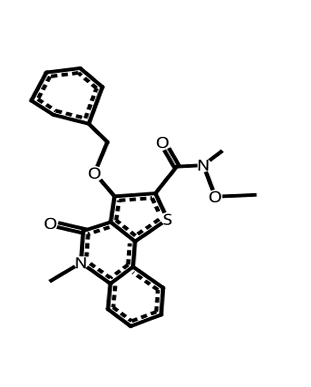 CON(C)C(=O)c1sc2c(c1OCc1ccccc1)c(=O)n(C)c1ccccc21